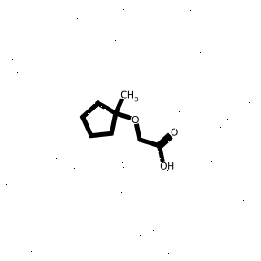 CC1(OCC(=O)O)CCCC1